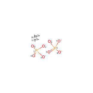 O=P([O-])([O-])[O-].O=P([O-])([O-])[O-].[In+3].[Y+3]